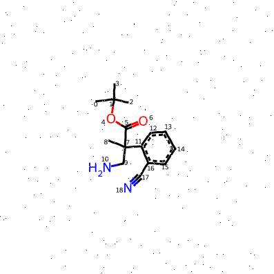 CC(C)(C)OC(=O)C(C)(CN)c1ccccc1C#N